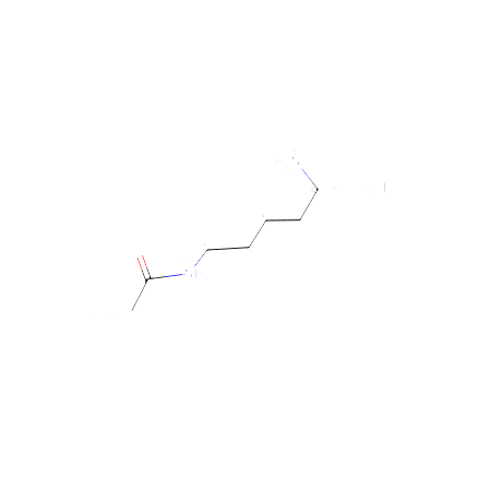 CCCCCC(=O)NCCCC[C@H](N)C(=O)O